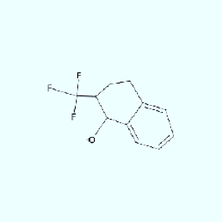 [O]C1c2ccccc2CCC1C(F)(F)F